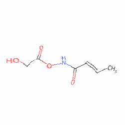 CC=CC(=O)NOC(=O)CO